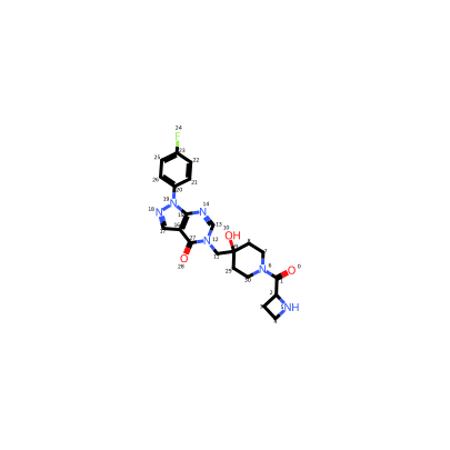 O=C(C1CCN1)N1CCC(O)(Cn2cnc3c(cnn3-c3ccc(F)cc3)c2=O)CC1